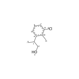 [CH2]C(CO)c1cccc(Cl)c1C